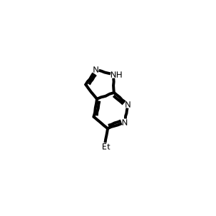 CCc1cc2cn[nH]c2nn1